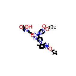 Cc1ccc2c(cnn2COCC[Si](C)(C)C)c1N1CCc2c(nc(OCCCN3CC4OC[C@]43O)nc2N2CCN(C(=O)OC(C)(C)C)CC2)C1